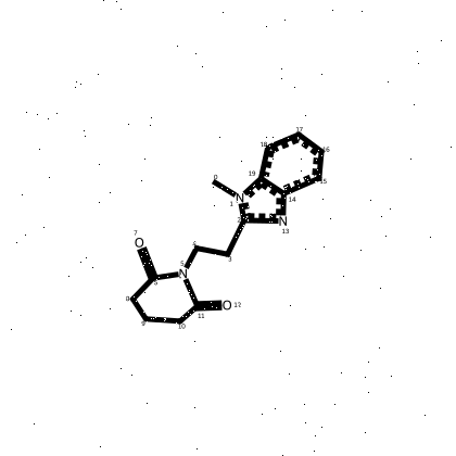 Cn1c(CCN2C(=O)CCCC2=O)nc2ccccc21